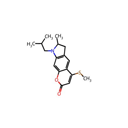 CSc1cc(=O)oc2cc3c(cc12)CC(C)N3CC(C)C